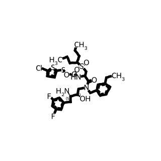 CCCC(CCC)S(=O)(=O)CC(NOOSc1ccc(Cl)s1)C(=O)N(Cc1cccc(CC)c1)C[C@@H](O)[C@@H](N)Cc1cc(F)cc(F)c1